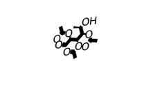 CC(=O)O[C@@H]([C@H](OC(C)=O)[C@@H](C=O)OC(C)=O)[C@@H](C)O